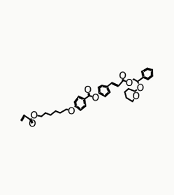 C=CC(=O)OCCCCCCOc1ccc(C(=O)Oc2ccc(/C=C/C(=O)OCC(OC3CCCCO3)c3ccccc3)cc2)cc1